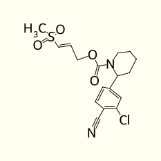 CS(=O)(=O)C=CCOC(=O)N1CCCCC1c1ccc(C#N)c(Cl)c1